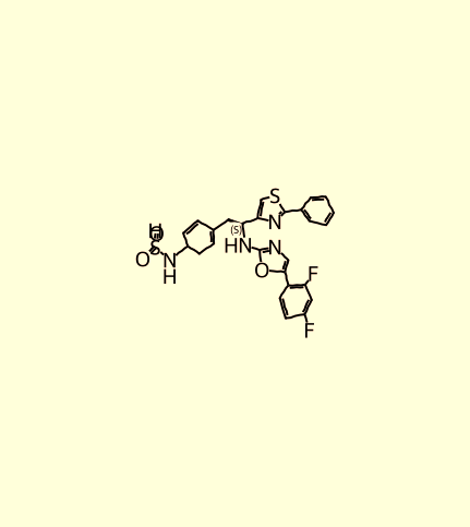 O=[SH](=O)NC1C=CC(C[C@H](Nc2ncc(-c3ccc(F)cc3F)o2)c2csc(-c3ccccc3)n2)=CC1